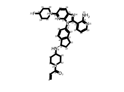 C=CC(=O)N1CCC(N[C@H]2CCc3cc(-n4c(-c5cccnc5N)nc5ccc(N6CCC(F)CC6)nc54)ccc32)CC1